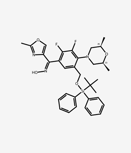 Cc1nc(C(=NO)c2cc(CO[Si](c3ccccc3)(c3ccccc3)C(C)(C)C)c(N3C[C@@H](C)O[C@@H](C)C3)c(F)c2F)co1